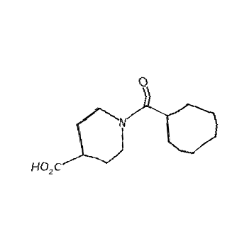 O=C(O)C1CCN(C(=O)C2CCCCC2)CC1